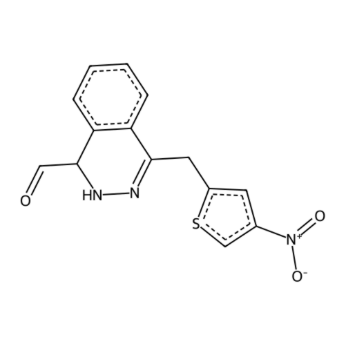 O=CC1NN=C(Cc2cc([N+](=O)[O-])cs2)c2ccccc21